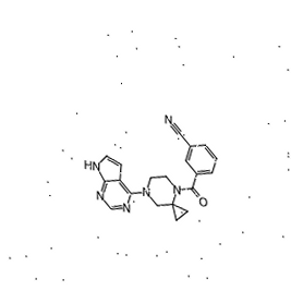 N#Cc1cccc(C(=O)N2CCN(c3ncnc4[nH]ccc34)CC23CC3)c1